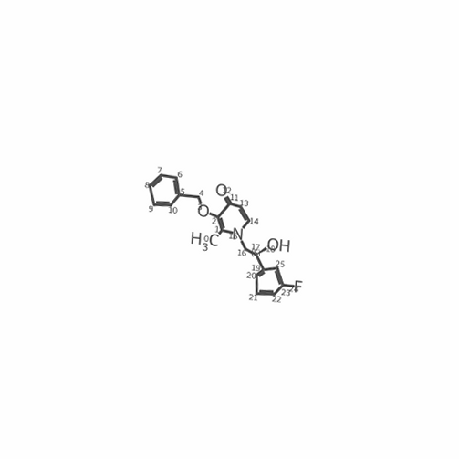 Cc1c(OCc2ccccc2)c(=O)ccn1C[C@@H](O)c1cccc(F)c1